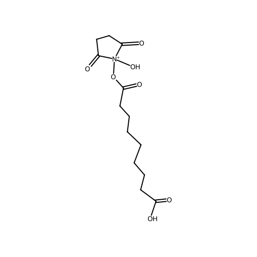 O=C(O)CCCCCCCC(=O)O[N+]1(O)C(=O)CCC1=O